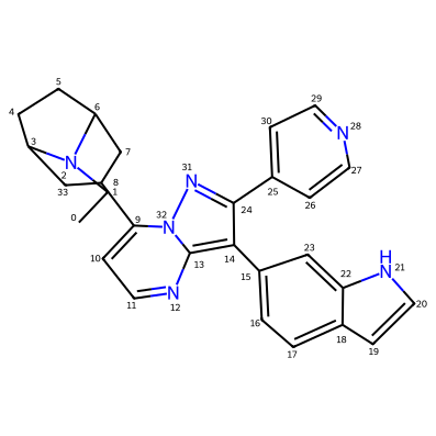 CCN1C2CCC1CC(c1ccnc3c(-c4ccc5cc[nH]c5c4)c(-c4ccncc4)nn13)C2